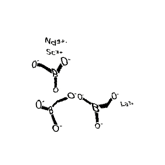 [La+3].[Nd+3].[O-]B([O-])[O-].[O-]B([O-])[O-].[O-]B([O-])[O-].[Sc+3]